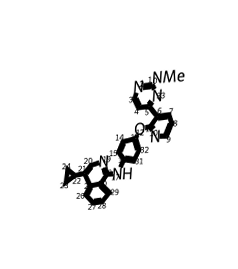 CNc1nccc(-c2cccnc2Oc2ccc(Nc3ncc(C4CC4)c4ccccc34)cc2)n1